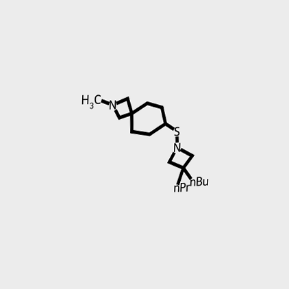 CCCCC1(CCC)CN(SC2CCC3(CC2)CN(C)C3)C1